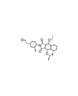 CCOc1c2c(c(OC(F)F)c3ccccc13)C(=O)N(c1ccc(CC=O)cc1F)C2=O